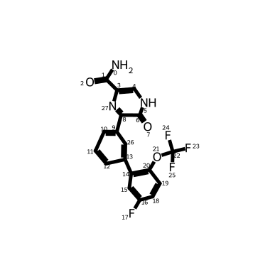 NC(=O)c1c[nH]c(=O)c(-c2cccc(-c3cc(F)ccc3OC(F)(F)F)c2)n1